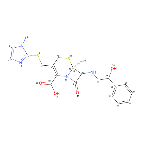 Cn1nnnc1SCC1=C(C(=O)O)N2C(=O)C(NCC(O)c3ccccc3)[C@@H]2SC1